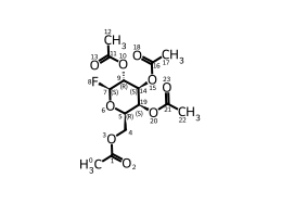 CC(=O)OC[C@H]1O[C@@H](F)[C@H](OC(C)=O)[C@@H](OC(C)=O)[C@H]1OC(C)=O